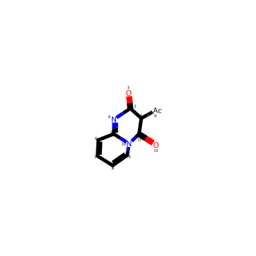 CC(=O)C1C(=O)N=C2C=CC=CN2C1=O